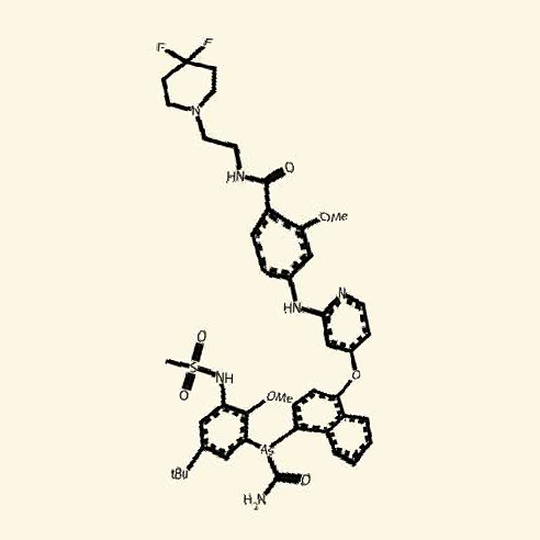 COc1cc(Nc2cc(Oc3ccc([As](C(N)=O)c4cc(C(C)(C)C)cc(NS(C)(=O)=O)c4OC)c4ccccc34)ccn2)ccc1C(=O)NCCN1CCC(F)(F)CC1